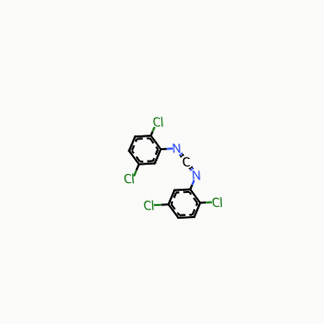 Clc1ccc(Cl)c(N=C=Nc2cc(Cl)ccc2Cl)c1